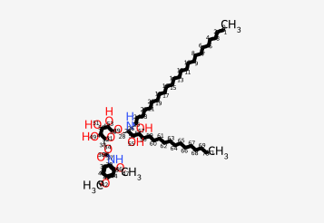 CCCCCCCCCCCCCCCCCCCCCCCCCCN[C@@H](CO[C@H]1O[C@H](COC(=O)Nc2ccc(OC)cc2OC)[C@H](O)[C@H](O)[C@H]1O)[C@H](O)[C@H](O)CCCCCCCCCCCCCC